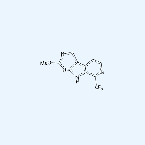 COc1ncc2c(n1)[nH]c1c(C(F)(F)F)nccc12